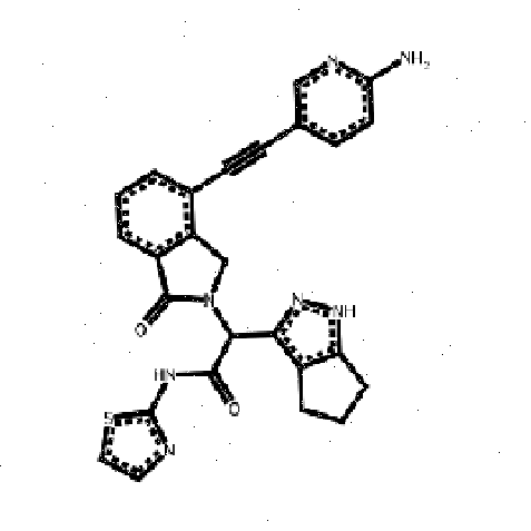 Nc1ccc(C#Cc2cccc3c2CN(C(C(=O)Nc2nccs2)c2n[nH]c4c2CCC4)C3=O)cn1